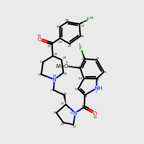 COc1c(F)ccc2[nH]c(C(=O)N3CCC[C@H]3CCN3CCC(C(=O)c4ccc(F)cc4)CC3)cc12